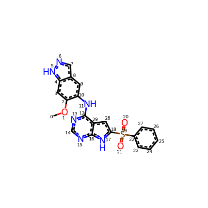 COc1cc2[nH]ncc2cc1Nc1ncnc2[nH]c(S(=O)(=O)c3ccccc3)cc12